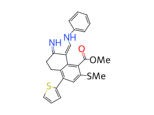 COC(=O)c1c(SC)cc(-c2cccs2)c2c1/C(=C/Nc1ccccc1)C(=N)CC2